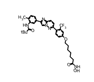 Cc1ccc(-c2cn3nc(-c4ccc(OCCCCCCC(=O)NO)cc4C(F)(F)F)ccc3n2)cc1NC(=O)C(C)(C)C